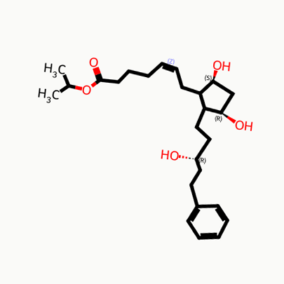 CC(C)OC(=O)CCC/C=C\CC1C(CC[C@@H](O)CCc2ccccc2)[C@H](O)C[C@@H]1O